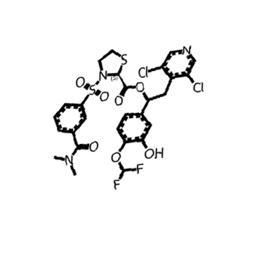 CN(C)C(=O)c1cccc(S(=O)(=O)N2CCS[C@H]2C(=O)OC(Cc2c(Cl)cncc2Cl)c2ccc(OC(F)F)c(O)c2)c1